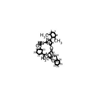 Cc1cccc(C)c1-c1cc2nc(n1)NS(=O)(=O)c1cccc(c1)C(=O)N1CCN(Cc3ccccc3)CC(O2)C1CC(C)C